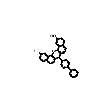 Oc1ccc2ccc3c(c2c1)Oc1c(ccc2ccc(O)cc12)C3c1ccc(-c2ccccc2)cc1